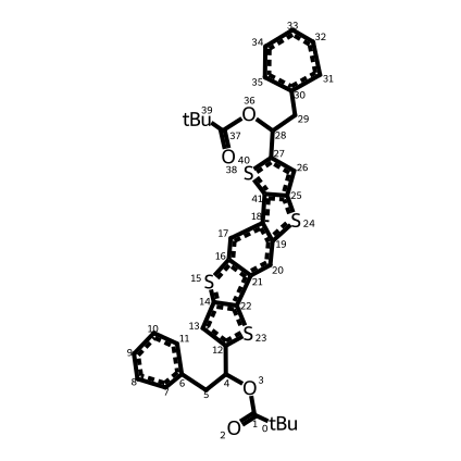 CC(C)(C)C(=O)OC(Cc1ccccc1)c1cc2sc3cc4c(cc3c2s1)sc1cc(C(Cc2ccccc2)OC(=O)C(C)(C)C)sc14